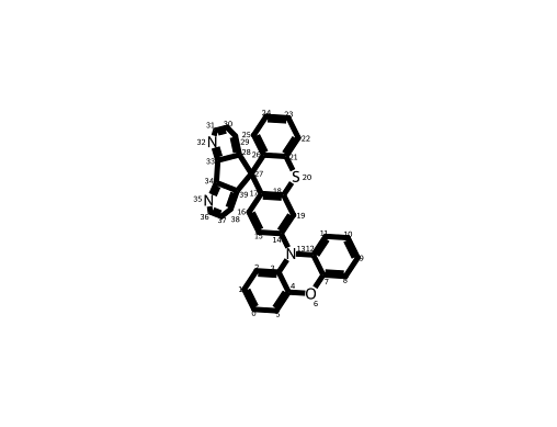 c1ccc2c(c1)Oc1ccccc1N2c1ccc2c(c1)Sc1ccccc1C21c2cccnc2-c2ncccc21